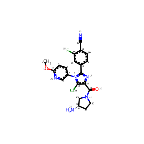 COc1ccc(-n2c(-c3ccc(C#N)c(F)c3)nc(C(=O)N3CC[C@H](N)C3)c2Cl)cn1